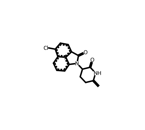 C=C1CCC(N2C(=O)c3ccc(Cl)c4cccc2c34)C(=O)N1